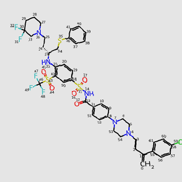 C=C(CCN1CCN(c2ccc(C(=O)NS(=O)(=O)c3ccc(N[C@H](CCN4CCCC(F)(F)C4)CSc4ccccc4)c(S(=O)(=O)C(F)(F)F)c3)cc2)CC1)c1ccc(Cl)cc1